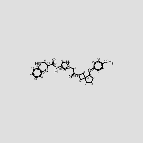 Cc1ccc(OC2CCCC23CN(C(=O)Cn2cc(NC(=O)C4CNc5ccccc5O4)cn2)C3)cc1